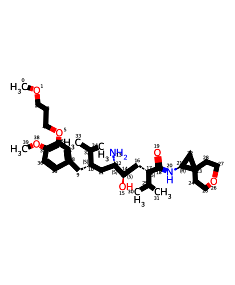 COCCCOc1cc(C[C@@H](C[C@H](N)[C@@H](O)C[C@H](C(=O)N[C@@H]2CC23CCOCC3)C(C)C)C(C)C)ccc1OC